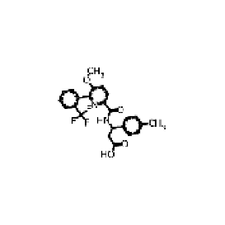 COc1ccc(C(=O)NC(CC(=O)O)c2ccc(C)cc2)nc1-c1ccccc1C(F)(F)F